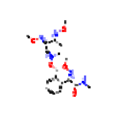 CNC(=O)/C(=N/OC)c1ccccc1CO/[N+](C)=C/C(=N\OC)C(/C)=N/OC